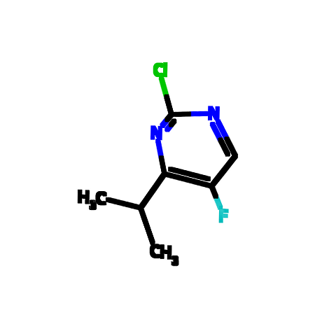 CC(C)c1nc(Cl)ncc1F